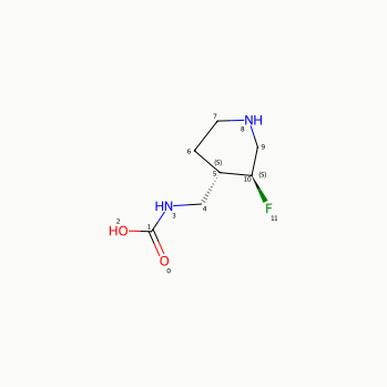 O=C(O)NC[C@@H]1CCNC[C@H]1F